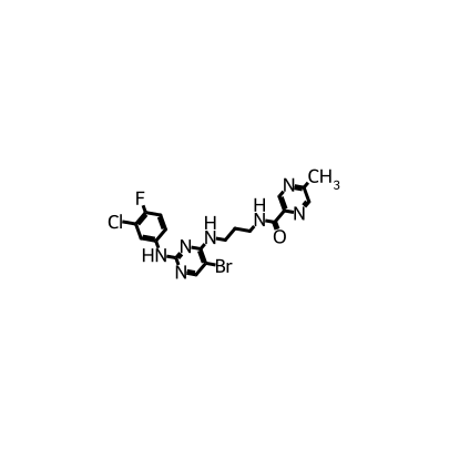 Cc1cnc(C(=O)NCCCNc2nc(Nc3ccc(F)c(Cl)c3)ncc2Br)cn1